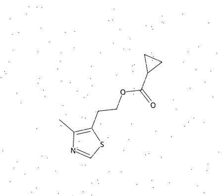 Cc1ncsc1CCOC(=O)C1CC1